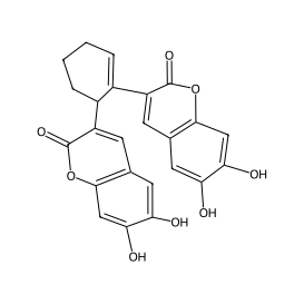 O=c1oc2cc(O)c(O)cc2cc1C1=CCCCC1c1cc2cc(O)c(O)cc2oc1=O